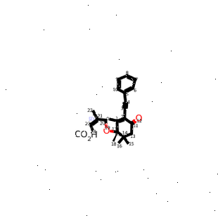 CC1=C(C#Cc2ccccc2)C(=O)CC(C)(C)[C@]1(C)OC/C(C)=C\C(=O)O